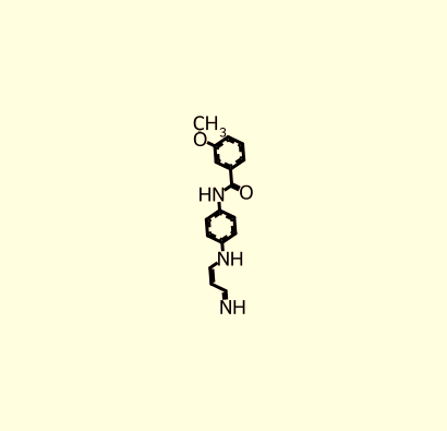 COc1cccc(C(=O)Nc2ccc(N/C=C\C=N)cc2)c1